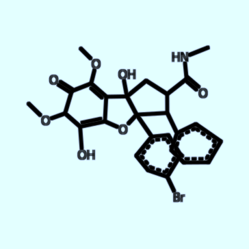 CNC(=O)C1CC2(O)C3=C(OC)C(=O)C(OC)C(O)=C3OC2(c2ccc(Br)cc2)C1c1ccccc1